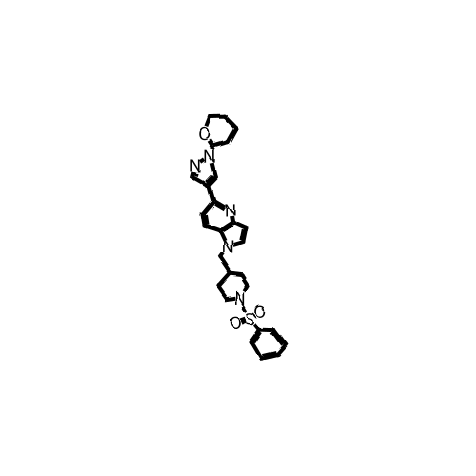 O=S(=O)(c1ccccc1)N1CCC(Cn2ccc3nc(-c4cnn(C5CCCCO5)c4)ccc32)CC1